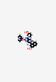 CCc1c(F)ccc2cc(O)cc(-c3ncc4c(N5CCCC(O)C5)nc(OCC56CCCN5C[C@H](F)C6)nc4c3F)c12